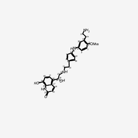 COc1ccc(Nc2ccc(CCNC[C@H](O)c3ccc(O)c4[nH]c(=O)ccc34)cc2)cc1CCN